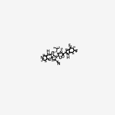 CC(C)C[C@@H](C(=O)N1C[C@@]2(C[C@H]1C#N)Oc1ccncc1NC2=O)N(C)C(=O)c1cc2c(F)cc(F)cc2[nH]1